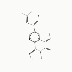 C=CC(C)/C(=C\N)c1ccc(C(/C=C(/C)C(C)C)=C/C)cc1/C=C\CC